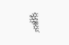 Cc1ccc(S(=O)(=O)NC2=CCCC3=C2C(=O)c2ccccc2C3=O)cc1